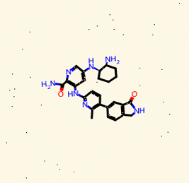 Cc1nc(Nc2cc(N[C@@H]3CCCC[C@@H]3N)cnc2C(N)=O)ccc1-c1ccc2c(c1)C(=O)NC2